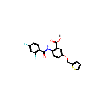 O=C(Nc1ccc(OCc2cccs2)cc1C(=O)[O-])c1ccc(F)cc1F.[Li+]